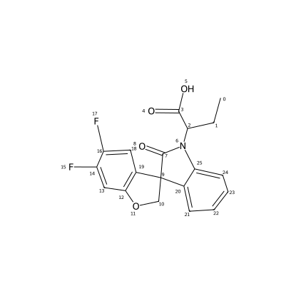 CCC(C(=O)O)N1C(=O)C2(COc3cc(F)c(F)cc32)c2ccccc21